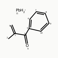 C=C(C)C(=O)c1ccccc1.[PbH2]